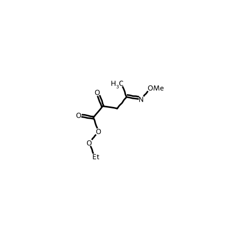 CCOOC(=O)C(=O)C/C(C)=N/OC